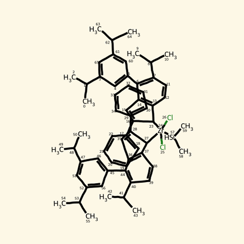 CC(C)c1cc(-c2c(C(C)C)ccc3c2C=C(c2ccccc2)[CH]3[Zr]([Cl])([Cl])([CH]2C(c3ccccc3)=Cc3c2ccc(C(C)C)c3-c2cc(C(C)C)cc(C(C)C)c2)[SiH](C)C)cc(C(C)C)c1